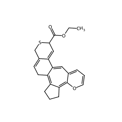 CCOC(=O)C1C=C2C(=CCC3=C4CCCC4=C4OC=CC=C4C=C23)CS1